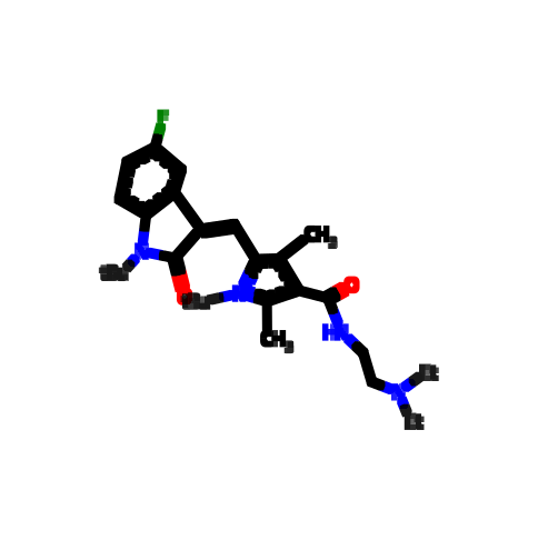 CCN(CC)CCNC(=O)c1c(C)c(/C=C2\C(=O)N(C(C)(C)C)c3ccc(F)cc32)n(C(C)(C)C)c1C